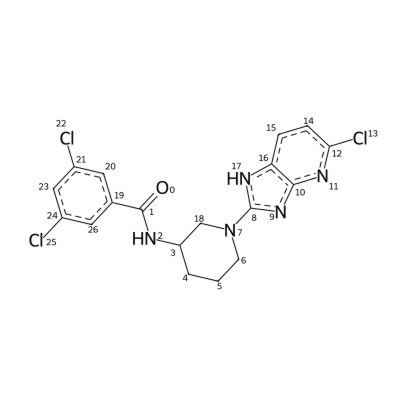 O=C(NC1CCCN(c2nc3nc(Cl)ccc3[nH]2)C1)c1cc(Cl)cc(Cl)c1